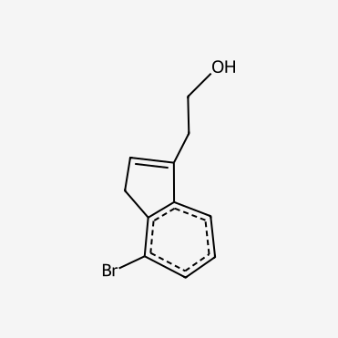 OCCC1=CCc2c(Br)cccc21